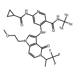 [2H]C([2H])([2H])NC(=O)c1cnc(NC(=O)C2CC2)cc1Nc1cn(CCOC)c2ccn(C(C)C(F)(F)F)c(=O)c12